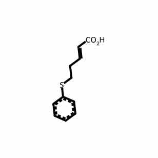 O=C(O)C=CCCSc1ccccc1